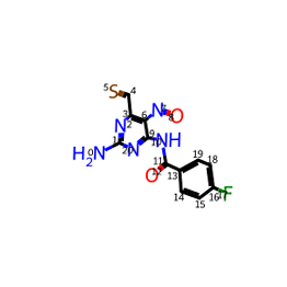 Nc1nc(C=S)c(N=O)c(NC(=O)c2ccc(F)cc2)n1